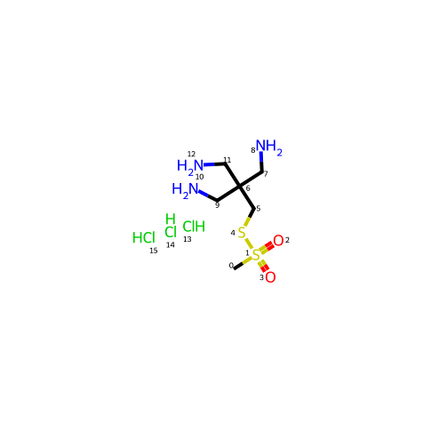 CS(=O)(=O)SCC(CN)(CN)CN.Cl.Cl.Cl